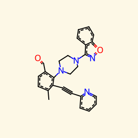 Cc1ccc(C=O)c(N2CCN(c3noc4ccccc34)CC2)c1C#Cc1ccccn1